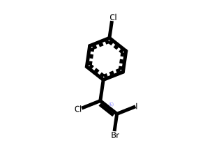 Cl/C(=C(\Br)I)c1ccc(Cl)cc1